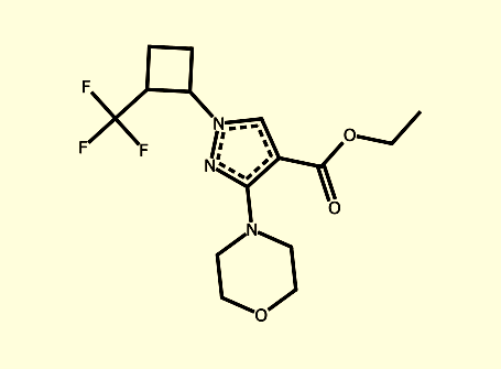 CCOC(=O)c1cn(C2CCC2C(F)(F)F)nc1N1CCOCC1